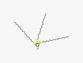 CCCCCCCCCCCCCCCCCCSc1cc(CC)cc(SCCCCCCCCCCCCCCCCCC)c1SCCCCCCCCCCCCCCCCCC